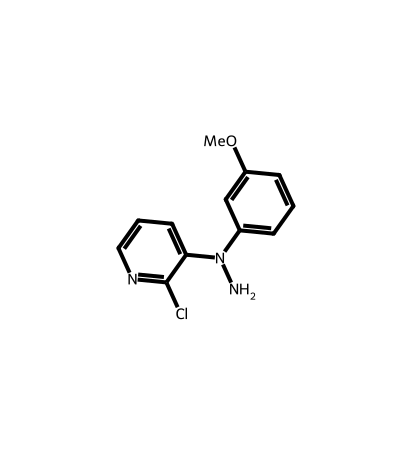 COc1cccc(N(N)c2cccnc2Cl)c1